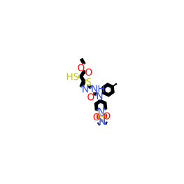 CCOC(=O)C(S)c1cnc(NC(=O)N(C2CCN(S(=O)(=O)N(C)C)CC2)[C@H]2CC[C@H](C)CC2)s1